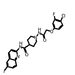 O=C(COc1ccc(Cl)c(F)c1)NN1CCC(C(=O)Nc2ccc3cc(Cl)ccc3n2)CC1